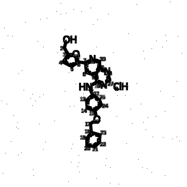 Cl.OCc1ccc(-c2cc3c(Nc4ccc(OCc5ccccc5)cc4)ncnc3cn2)o1